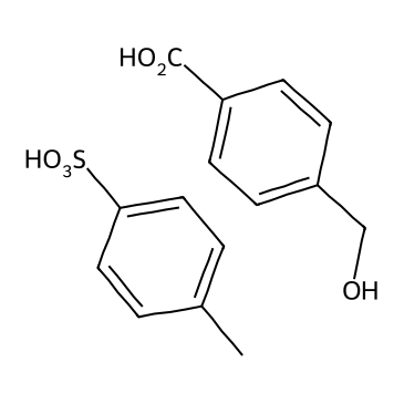 Cc1ccc(S(=O)(=O)O)cc1.O=C(O)c1ccc(CO)cc1